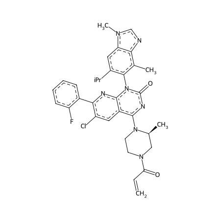 C=CC(=O)N1CCN(c2nc(=O)n(-c3c(C(C)C)cc4c(ncn4C)c3C)c3nc(-c4ccccc4F)c(Cl)cc23)[C@@H](C)C1